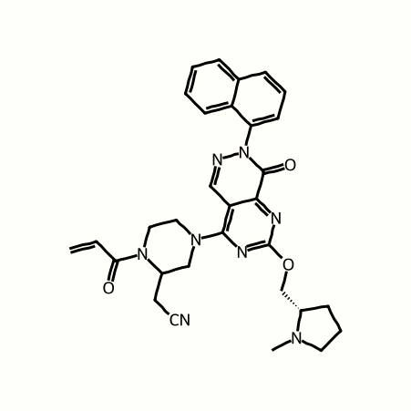 C=CC(=O)N1CCN(c2nc(OC[C@@H]3CCCN3C)nc3c(=O)n(-c4cccc5ccccc45)ncc23)CC1CC#N